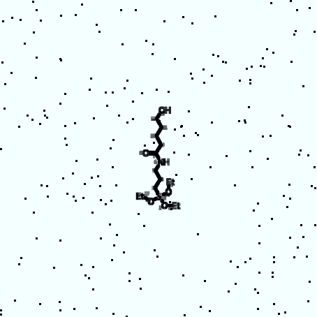 CCO[Si](CCCNC(=O)CCCCO)(OCC)OCC